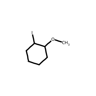 COC1CC[CH]CC1I